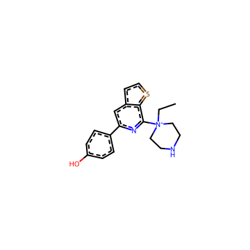 CC[N+]1(c2nc(-c3ccc(O)cc3)cc3ccsc23)CCNCC1